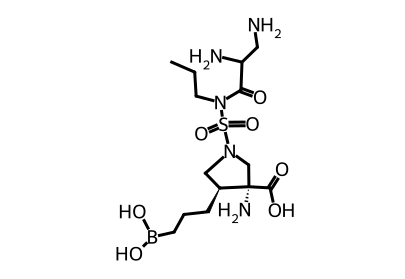 CCCN(C(=O)C(N)CN)S(=O)(=O)N1C[C@H](CCCB(O)O)[C@](N)(C(=O)O)C1